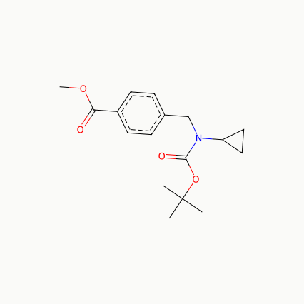 COC(=O)c1ccc(CN(C(=O)OC(C)(C)C)C2CC2)cc1